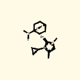 Cc1cn(C)[c](=[Pt])n1C1CC1.IN(I)C12CCC(CC1)CC2